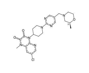 C[C@H]1CN(Cc2cnc(N3CCC(n4c(=O)c(=O)n(C)c5cc(Cl)cnc54)CC3)nc2)CCO1